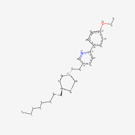 CCCCCCCC[C@H]1CC[C@H](CCc2ccc(-c3ccc(OCC)cc3)nc2)CC1